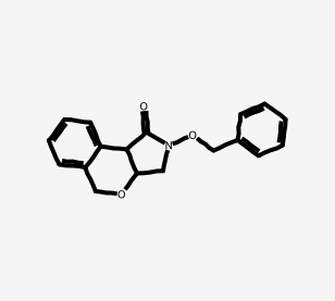 O=C1C2c3ccccc3COC2CN1OCc1ccccc1